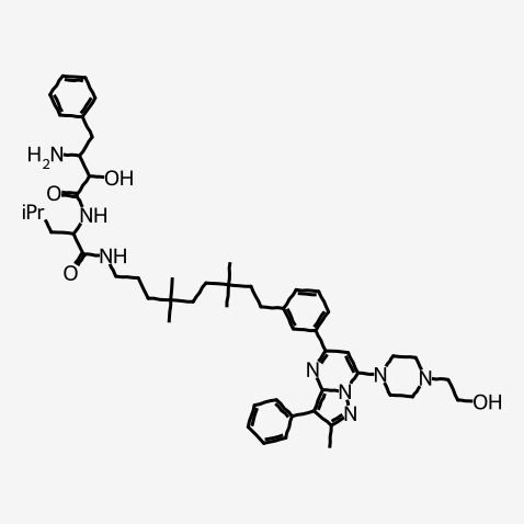 Cc1nn2c(N3CCN(CCO)CC3)cc(-c3cccc(CCC(C)(C)CCC(C)(C)CCCNC(=O)C(CC(C)C)NC(=O)C(O)C(N)Cc4ccccc4)c3)nc2c1-c1ccccc1